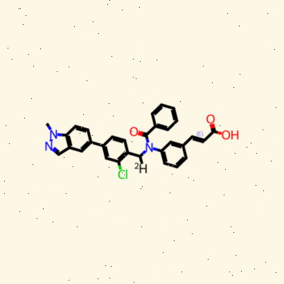 [2H]C(c1ccc(-c2ccc3c(cnn3C)c2)cc1Cl)N(C(=O)c1ccccc1)c1cccc(/C=C/C(=O)O)c1